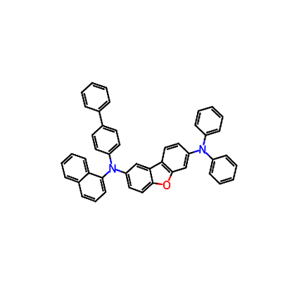 c1ccc(-c2ccc(N(c3ccc4oc5cc(N(c6ccccc6)c6ccccc6)ccc5c4c3)c3cccc4ccccc34)cc2)cc1